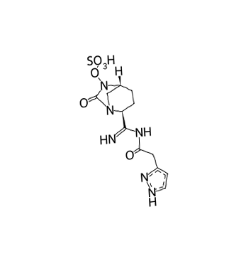 N=C(NC(=O)Cc1cc[nH]n1)[C@@H]1CC[C@@H]2CN1C(=O)N2OS(=O)(=O)O